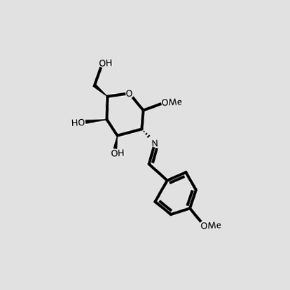 COc1ccc(/C=N/[C@H]2C(OC)O[C@H](CO)[C@H](O)[C@@H]2O)cc1